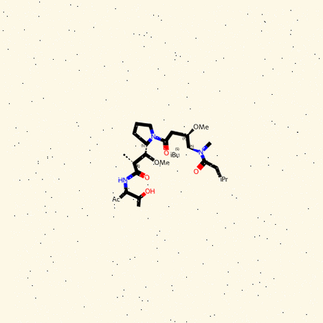 CC[C@H](C)[C@@H]([C@@H](CC(=O)N1CCC[C@H]1C(OC)[C@@H](C)C(=O)NC(C(C)=O)C(C)O)OC)N(C)C(=O)CC(C)C